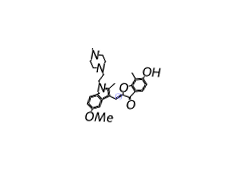 COc1ccc2c(c1)c(/C=C1\Oc3c(ccc(O)c3C)C1=O)c(C)n2CCN1CCN(C)CC1